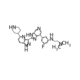 CN(C)CCNc1cc(F)cc(-c2cncc3[nH]c(-c4n[nH]c5ccc(C6CCNCC6)nc45)nc23)c1